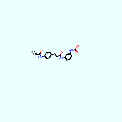 C=CC(=O)Nc1ccc(CCC(=O)Nc2cccc(NC(=O)O)c2)cc1